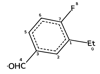 CCc1cc([C]=O)ccc1F